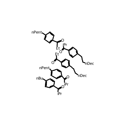 CCCCCCCCCCCCc1ccc(C(=O)C(C)C)cc1.CCCCCCCCCCCCc1ccc(C(=O)CC)cc1.CCCCCc1ccc(C(=O)C(C)C)cc1.CCCCCc1ccc(C(=O)CC)cc1.CCCCc1ccc(C(=O)C(C)C)cc1